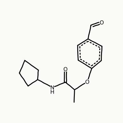 CC(Oc1ccc(C=O)cc1)C(=O)NC1CCCC1